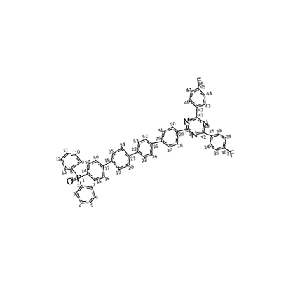 O=P(c1ccccc1)(c1ccccc1)c1ccc(-c2ccc(-c3ccc(-c4ccc(-c5nc(-c6ccc(F)cc6)nc(-c6ccc(F)cc6)n5)cc4)cc3)cc2)cc1